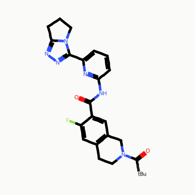 CC(C)(C)C(=O)N1CCc2cc(F)c(C(=O)Nc3cccc(-c4nnc5n4CCC5)n3)cc2C1